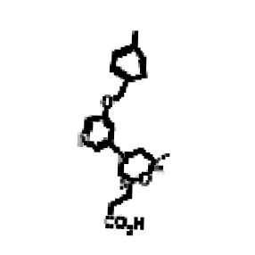 Cc1ccc(COc2cncc(N3C[C@H](CCC(=O)O)O[C@@H](C)C3)c2)cc1